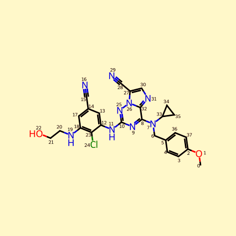 COc1ccc(CN(c2nc(Nc3cc(C#N)cc(NCCO)c3Cl)nn3c(C#N)cnc23)C2CC2)cc1